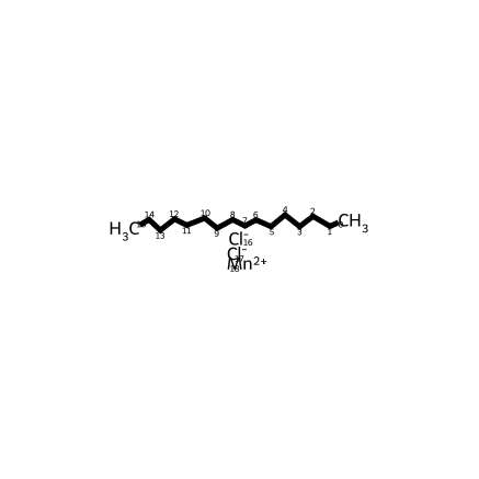 CCCCCCCCCCCCCCCC.[Cl-].[Cl-].[Mn+2]